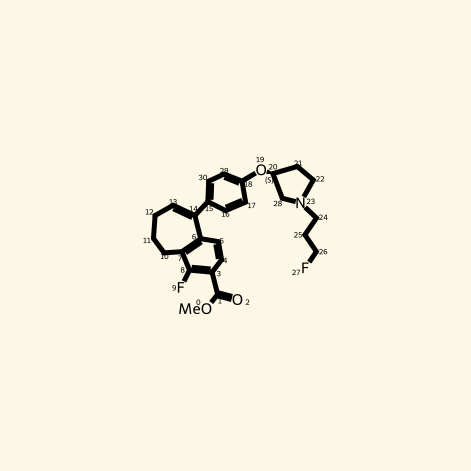 COC(=O)c1ccc2c(c1F)CCCC=C2c1ccc(O[C@H]2CCN(CCCF)C2)cc1